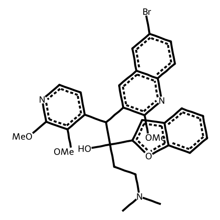 COc1nc2ccc(Br)cc2cc1C(c1ccnc(OC)c1OC)C(O)(CCN(C)C)c1cc2ccccc2o1